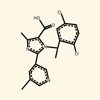 Cc1cncc(-c2nc(C)c(C(=O)O)n2C(C)c2cc(Cl)ccc2Cl)c1